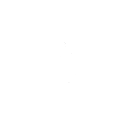 Cc1ccc(C2CN=C(N)N(C)C2)cc1